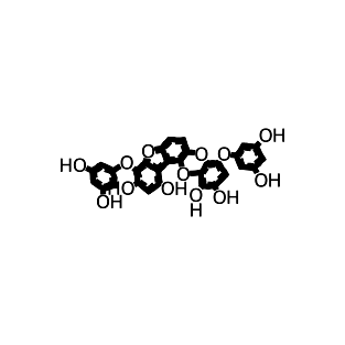 Oc1cc(O)cc(Oc2cc(O)c(O)c3c2Oc2ccc4oc5c(Oc6cc(O)cc(O)c6)c(O)cc(O)c5c4c2O3)c1